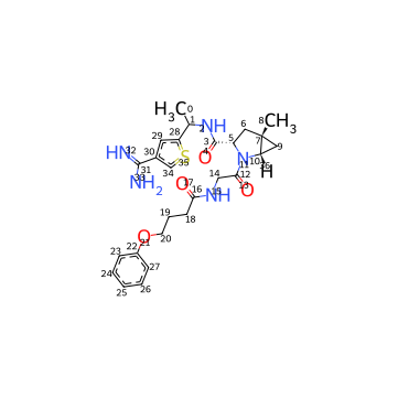 CC(NC(=O)[C@@H]1C[C@]2(C)C[C@@H]2N1C(=O)CNC(=O)CCCOc1ccccc1)c1cc(C(=N)N)cs1